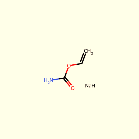 C=COC(N)=O.[NaH]